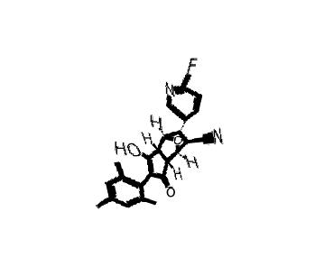 Cc1cc(C)c(C2=C(O)[C@@H]3[C@@H]4O[C@@H](C(C#N)[C@H]4c4ccc(F)nc4)[C@@H]3C2=O)c(C)c1